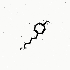 CC(=O)C1=CCC=C(CCCCO)C=C1